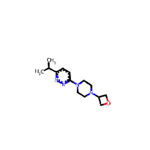 CC(C)c1ccc(N2CCN(C3COC3)CC2)nn1